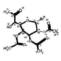 CC(=O)O[C@H]1[C@@H](OC(C)=O)[C@@H](C(O)C(C)=O)O[C@H](Br)[C@@H]1OC(C)=O